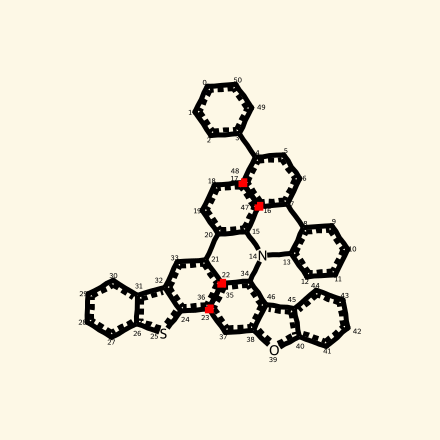 c1ccc(-c2ccc(-c3ccccc3N(c3ccccc3-c3ccc4sc5ccccc5c4c3)c3cccc4oc5ccccc5c34)cc2)cc1